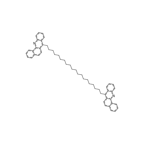 c1ccc2c(c1)ccc1c(CCCCCCCCCCCCCCCCCCCCc3c4ccccc4nc4c3ccc3ccccc34)c3ccccc3nc12